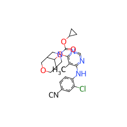 [C-]#[N+]c1ccc(Nc2ncnc(OC3C4COCC3CN(C(=O)OC3CC3)C4)c2C)c(Cl)c1